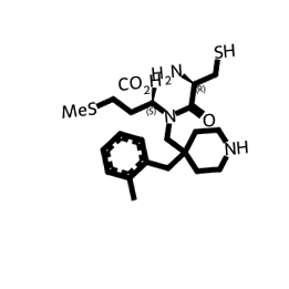 CSCC[C@@H](C(=O)O)N(CC1(Cc2ccccc2C)CCNCC1)C(=O)[C@@H](N)CS